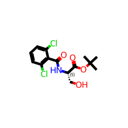 CC(C)(C)OC(=O)[C@H](CO)NC(=O)c1c(Cl)cccc1Cl